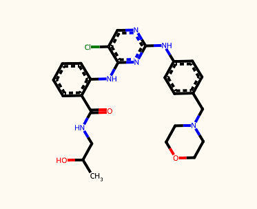 CC(O)CNC(=O)c1ccccc1Nc1nc(Nc2ccc(CN3CCOCC3)cc2)ncc1Cl